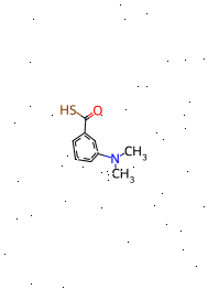 CN(C)c1cccc(C(=O)S)c1